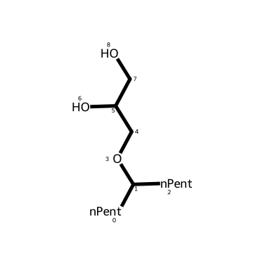 CCCCCC(CCCCC)OCC(O)CO